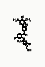 Cc1nc2c3c(nn2c(C)c1Cl)CN(C(=O)c1ccc(F)cc1OC1(C)C2CC(F)C1N2CCO)C3